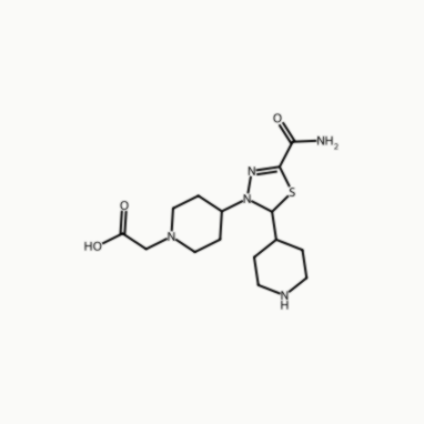 NC(=O)C1=NN(C2CCN(CC(=O)O)CC2)C(C2CCNCC2)S1